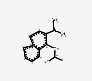 CC(N)c1ccc2ccccc2c1OC(F)F